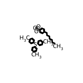 CCCCCCCCc1ccc(S(=O)(=O)[O-])cc1.Cc1ccc([S+](c2ccc(C)cc2)c2ccc(C)cc2)cc1